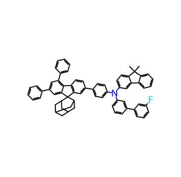 CC1(C)c2ccccc2-c2cc(N(c3ccc(-c4ccc5c(c4)C4(c6cc(-c7ccccc7)cc(-c7ccccc7)c6-5)C5CC6CC(C5)CC4C6)cc3)c3cccc(-c4cccc(F)c4)c3)ccc21